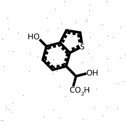 O=C(O)C(O)c1ccc(O)c2ccsc12